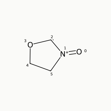 O=[N+]1[CH]OCC1